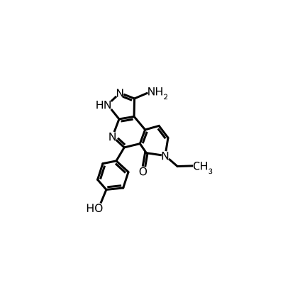 CCn1ccc2c(c(-c3ccc(O)cc3)nc3[nH]nc(N)c32)c1=O